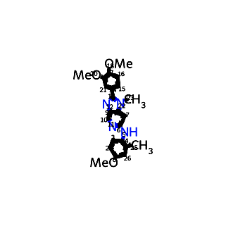 COc1ccc(Nc2cc3c(cn2)nc(-c2ccc(OC)c(OC)c2)n3C)c(C)c1